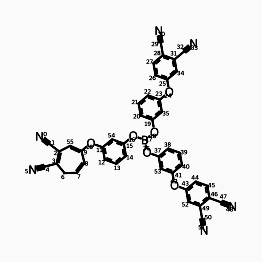 N#CC1=C(C#N)CC=CC(Oc2cccc(OB(Oc3cccc(Oc4ccc(C#N)c(C#N)c4)c3)Oc3cccc(Oc4ccc(C#N)c(C#N)c4)c3)c2)=C1